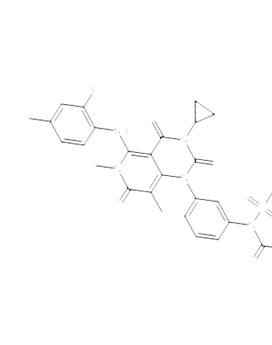 CC(=O)N(c1cccc(-n2c(=O)n(C3CC3)c(=O)c3c(Nc4ccc(I)cc4F)n(C)c(=O)c(C)c32)c1)S(C)(=O)=O